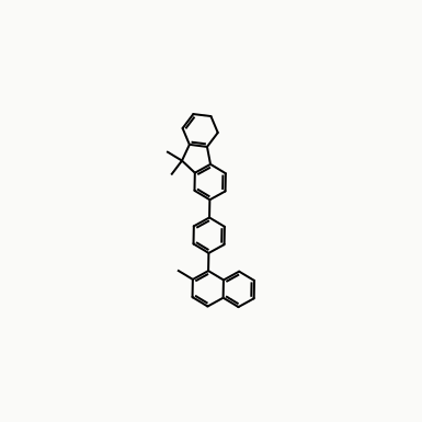 Cc1ccc2ccccc2c1-c1ccc(-c2ccc3c(c2)C(C)(C)C2=C3CCC=C2)cc1